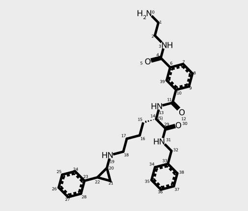 NCCNC(=O)c1cccc(C(=O)N[C@@H](CCCCNC2CC2c2ccccc2)C(=O)NCc2ccccc2)c1